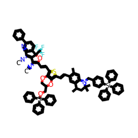 [C-]#[N+]C1=C(/C=C/c2sc(/C=C/c3cc4c(cc3C)N(Cc3ccc([Si](c5ccccc5)(c5ccccc5)c5ccccc5)cc3)C(C)(C)CC4C)c3c2OCC(CO[Si](c2ccccc2)(c2ccccc2)c2ccccc2)O3)OC(c2ccc(-c3ccccc3)cc2)(C(F)(F)F)/C1=C(\C#N)[N+]#[C-]